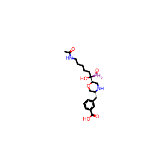 CC(=O)NCCCCCC(O)([PH2]=O)[C@H]1CN[C@H](Cc2cccc(C(=O)O)c2)CO1